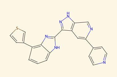 c1cc(-c2ccsc2)c2nc(-c3n[nH]c4cnc(-c5ccncc5)cc34)[nH]c2c1